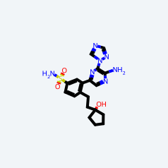 Nc1ncc(-c2cc(S(N)(=O)=O)ccc2CCC2(O)CCCC2)nc1-n1cncn1